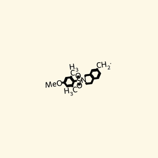 [CH2]c1ccc2c(c1)CN(S(=O)(=O)c1c(C)cc(OC)cc1C)CC2